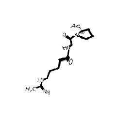 CC(=N)NCCCCC(=O)NCC(=O)N1CCC[C@H]1C(C)=O